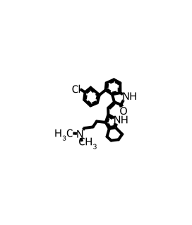 CN(C)CCCc1c(/C=C2\C(=O)Nc3cccc(-c4cccc(Cl)c4)c32)[nH]c2c1CCCC2